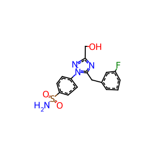 NS(=O)(=O)c1ccc(-n2nc(CO)nc2Cc2cccc(F)c2)cc1